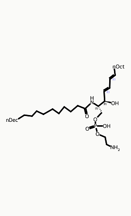 CCCCCCCC/C=C/C=C/[C@@H](O)[C@H](COP(=O)(O)OCCN)NC(=O)CCCCCCCCCCCCCCCCCCC